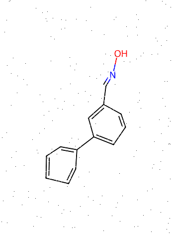 ON=Cc1cccc(-c2ccccc2)c1